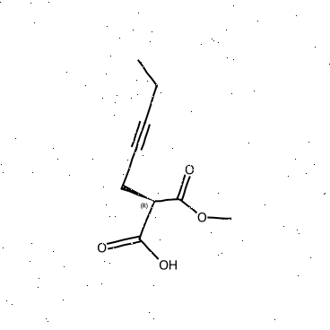 CCC#CC[C@H](C(=O)O)C(=O)OC